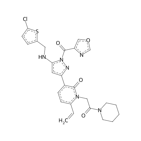 C=Cc1ccc(-c2cc(NCc3ccc(Cl)s3)n(C(=O)c3cocn3)n2)c(=O)n1CC(=O)N1CCCCC1